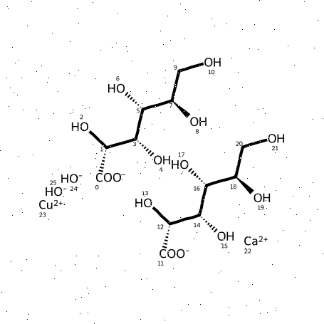 O=C([O-])[C@H](O)[C@@H](O)[C@H](O)[C@H](O)CO.O=C([O-])[C@H](O)[C@@H](O)[C@H](O)[C@H](O)CO.[Ca+2].[Cu+2].[OH-].[OH-]